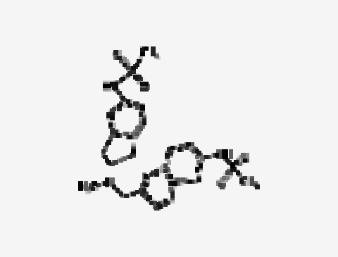 CN(Cc1ccc2cc(NS(C)(=O)=O)ccc2n1)C1Cc2ccc(NS(C)(=O)=O)cc2C1